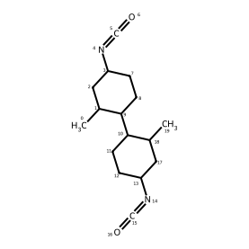 CC1CC(N=C=O)CCC1C1CCC(N=C=O)CC1C